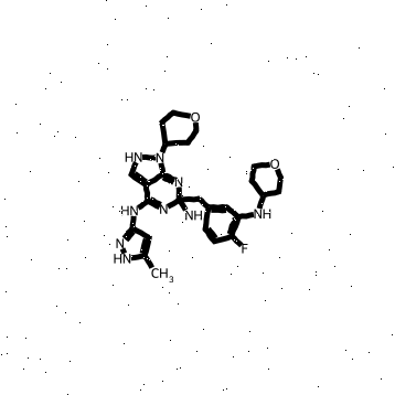 Cc1cc(NC2=NC(N)(Cc3ccc(F)c(NC4CCOCC4)c3)N=C3C2=CNN3C2CCOCC2)n[nH]1